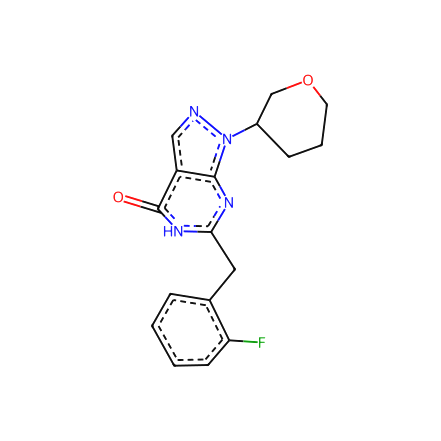 O=c1[nH]c(Cc2ccccc2F)nc2c1cnn2C1CCCOC1